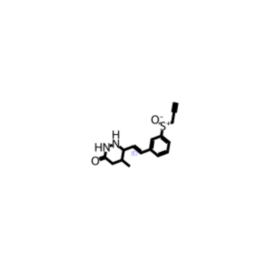 C#CC[S+]([O-])c1cccc(/C=C/C2NNC(=O)CC2C)c1